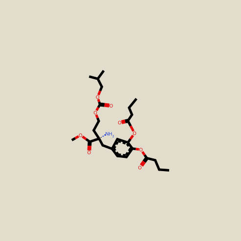 CCCC(=O)Oc1ccc(C[C@](N)(CCOC(=O)OCC(C)C)C(=O)OC)cc1OC(=O)CCC